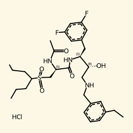 CCCC(CCC)S(=O)(=O)C[C@@H](NC(C)=O)C(=O)N[C@@H](Cc1cc(F)cc(F)c1)[C@H](O)CNCc1cccc(CC)c1.Cl